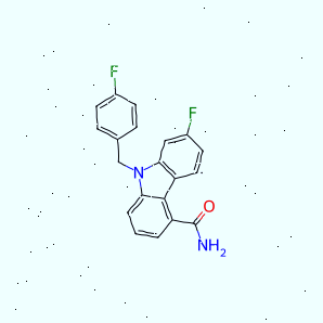 NC(=O)c1cccc2c1c1[c]cc(F)cc1n2Cc1ccc(F)cc1